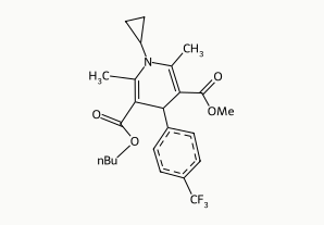 CCCCOC(=O)C1=C(C)N(C2CC2)C(C)=C(C(=O)OC)C1c1ccc(C(F)(F)F)cc1